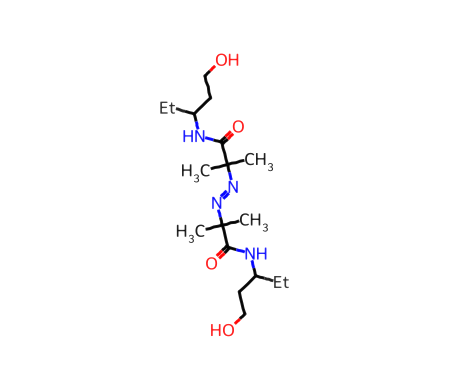 CCC(CCO)NC(=O)C(C)(C)/N=N/C(C)(C)C(=O)NC(CC)CCO